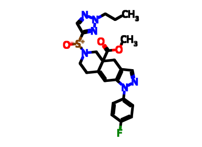 CCCn1ncc([S+]([O-])N2CCC3=Cc4c(cnn4-c4ccc(F)cc4)CC3(C(=O)OC)C2)n1